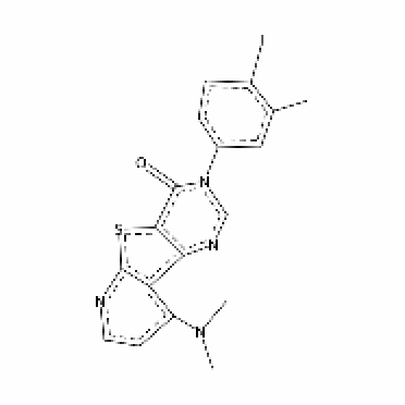 Cc1cc(-n2cnc3c(sc4nccc(N(C)C)c43)c2=O)ccc1I